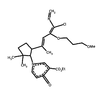 C=N/C(Cl)=C(\C=C(/C)C1CCC(C)(C)C1n1ccc(=O)c(C(=O)OCC)c1)OCCCOC